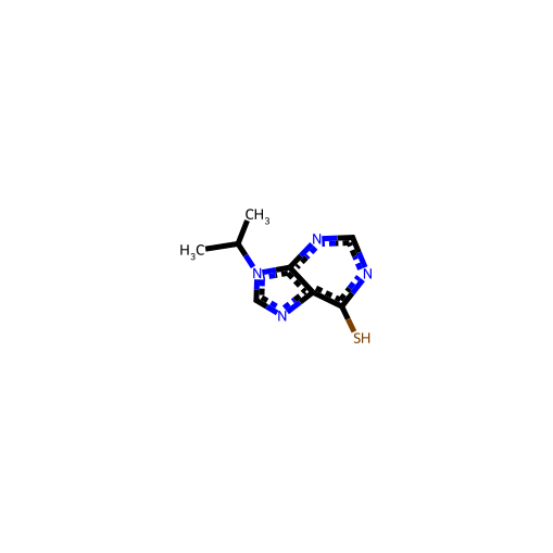 CC(C)n1cnc2c(S)ncnc21